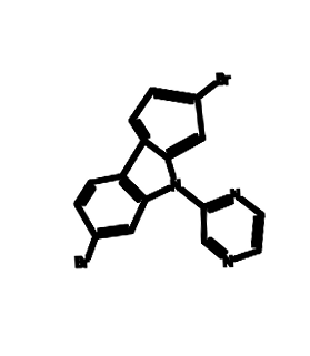 Brc1ccc2c3ccc(Br)cc3n(-c3cnccn3)c2c1